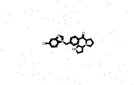 O=C(c1ccc(Cn2cnc3cc(Cl)ccc32)cc1)C1CCCN1C1CCNC1